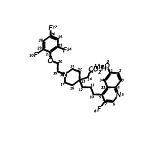 COc1ccc2ncc(F)c(CCCC3(CC(=O)O)CCN(CCOc4c(F)cc(F)cc4F)CC3)c2c1